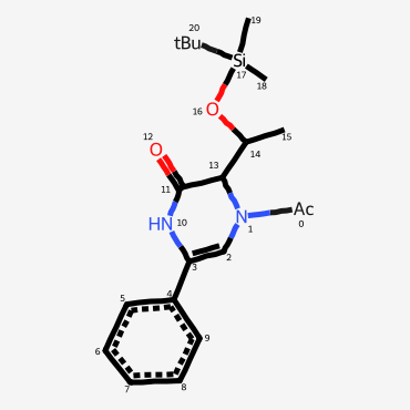 CC(=O)N1C=C(c2ccccc2)NC(=O)C1C(C)O[Si](C)(C)C(C)(C)C